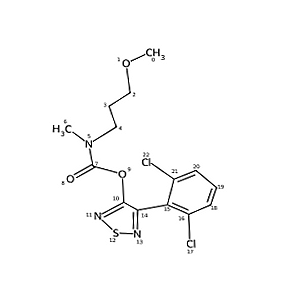 COCCCN(C)C(=O)Oc1nsnc1-c1c(Cl)cccc1Cl